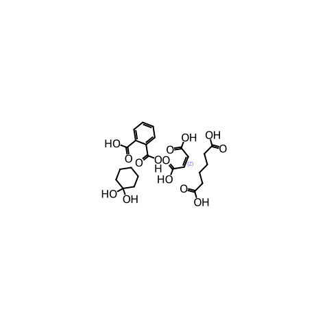 O=C(O)/C=C\C(=O)O.O=C(O)CCCCC(=O)O.O=C(O)c1ccccc1C(=O)O.OC1(O)CCCCC1